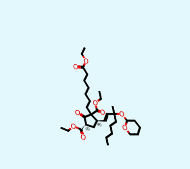 CCCCCC(C)(C=C[C@H]1C[C@H](C(=O)OCC)C(=O)C1(CCCCCCC(=O)OCC)C(=O)OCC)OC1CCCCO1